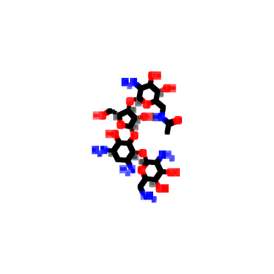 CC(=O)NCC1O[C@H](O[C@@H]2[C@H](O)[C@H](OC3C(O)[C@H](N)CC(N)[C@H]3O[C@H]3OC(CN)[C@@H](O)C(O)C3N)O[C@@H]2CO)C(N)C(O)[C@@H]1O